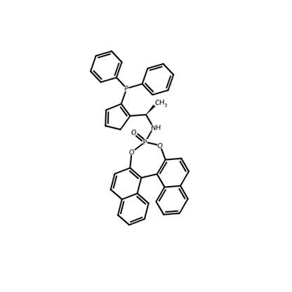 C[C@@H](NP1(=O)Oc2ccc3ccccc3c2-c2c(ccc3ccccc23)O1)C1=C(P(c2ccccc2)c2ccccc2)C=CC1